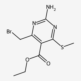 CCOC(=O)c1c(CBr)nc(N)nc1SC